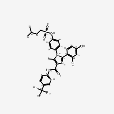 Cc1c(C(=O)Nc2ccc(C(F)(F)F)cn2)nc(-c2ccc(Cl)cc2Cl)n1-c1ccc(OS(=O)(=O)CCC(C)C)cc1